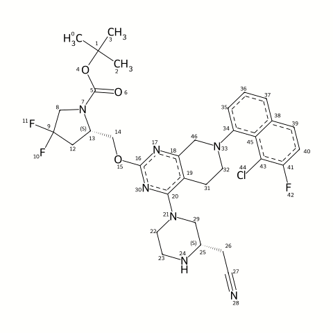 CC(C)(C)OC(=O)N1CC(F)(F)C[C@H]1COc1nc2c(c(N3CCN[C@@H](CC#N)C3)n1)CCN(c1cccc3ccc(F)c(Cl)c13)C2